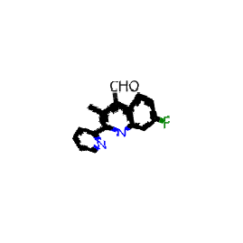 Cc1c(-c2ccccn2)nc2cc(F)ccc2c1C=O